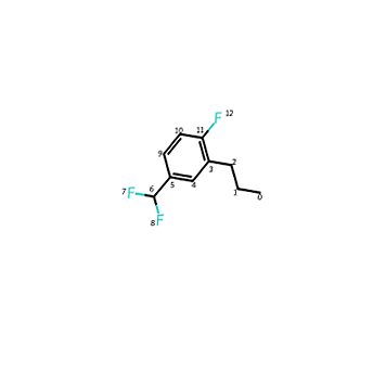 CCCc1cc(C(F)F)ccc1F